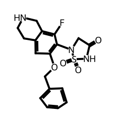 O=C1CN(c2c(OCc3ccccc3)cc3c(c2F)CNCC3)S(=O)(=O)N1